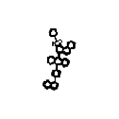 c1ccc(-c2nc3cc(-c4c5ccccc5c(-c5ccc(-c6cccc7ccccc67)cc5)c5ccccc45)c4ccc5ccccc5c4c3o2)cc1